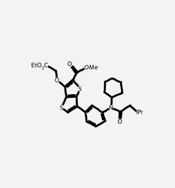 CCOC(=O)COc1c(C(=O)OC)sc2c(-c3cccc(N(C(=O)CC(C)C)C4CCCCC4)c3)csc12